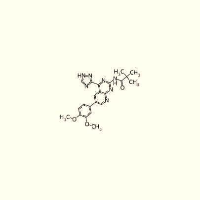 COc1ccc(-c2cnc3nc(NC(=O)C(C)(C)C)nc(-c4nc[nH]n4)c3c2)cc1OC